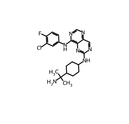 CC(C)(N)C1CCC(Nc2ncc3ncnc(Nc4ccc(F)c(Cl)c4)c3n2)CC1